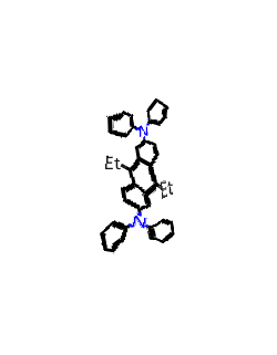 CCc1c2ccc(N(c3ccccc3)c3ccccc3)cc2c(CC)c2ccc(N(c3ccccc3)c3ccccc3)cc12